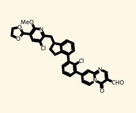 COc1nc(CC2CCc3c(-c4cccc(-c5ccn6c(=O)c(C=O)cnc6c5)c4Cl)cccc32)c(Cl)cc1C1OCCO1